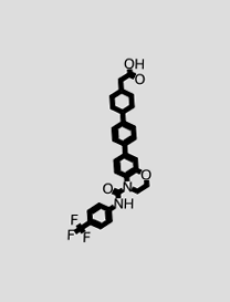 O=C(O)CC1CCC(c2ccc(-c3ccc4c(c3)OCCN4C(=O)Nc3ccc(C(F)(F)F)cc3)cc2)CC1